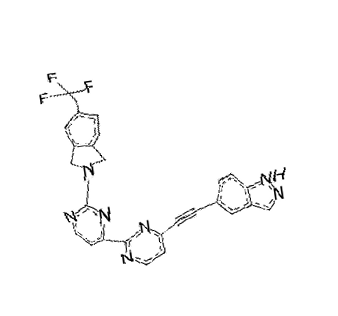 FC(F)(F)c1ccc2c(c1)CN(c1nccc(-c3nccc(C#Cc4ccc5[nH]ncc5c4)n3)n1)C2